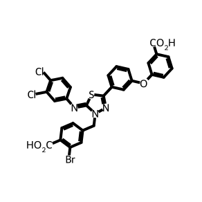 O=C(O)c1cccc(Oc2cccc(-c3nn(Cc4ccc(C(=O)O)c(Br)c4)c(=Nc4ccc(Cl)c(Cl)c4)s3)c2)c1